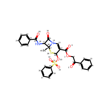 O=C(OCC(=O)c1ccccc1)C1=CN2C(=O)C(NC(=O)c3ccccc3)[C@H]2SC1OS(=O)(=O)c1ccccc1